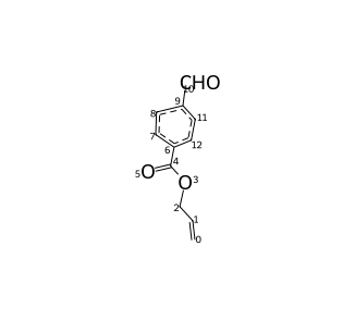 C=CCOC(=O)c1ccc(C=O)cc1